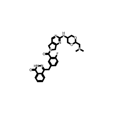 CN(C)CC1OCC(Nc2ncc3c(n2)CN(C(=O)c2cc(Cc4n[nH]c(=O)c5ccccc45)ccc2F)C3)CO1